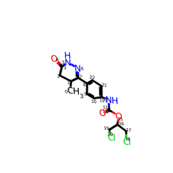 CC1CC(=O)NN=C1c1ccc(NC(=O)OC(CCl)CCl)cc1